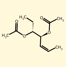 C/C=C\[C@H](OC(C)=O)[C@@H](CC)OC(C)=O